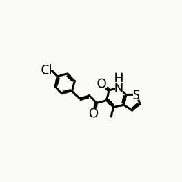 Cc1c(C(=O)/C=C/c2ccc(Cl)cc2)c(=O)[nH]c2sccc12